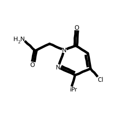 CC(C)c1nn(CC(N)=O)c(=O)cc1Cl